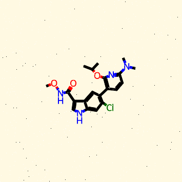 CONC(=O)c1c[nH]c2cc(Cl)c(-c3ccc(N(C)C)nc3OC(C)C)cc12